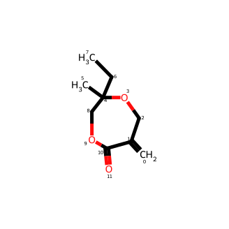 C=C1COC(C)(CC)COC1=O